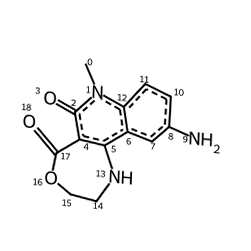 Cn1c(=O)c2c(c3cc(N)ccc31)NCCOC2=O